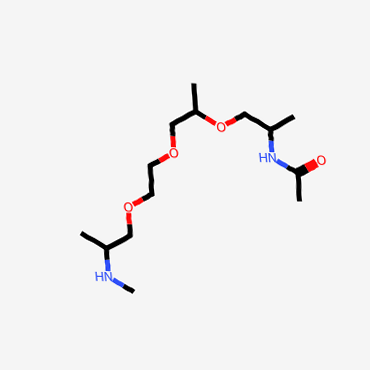 CNC(C)COCCOCC(C)OCC(C)NC(C)=O